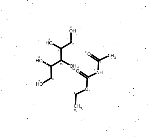 CCOC(=O)NC(C)=O.OCC(O)C(O)C(O)CO